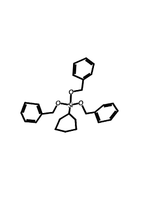 c1ccc(CO[Si](OCc2ccccc2)(OCc2ccccc2)C2CCCCC2)cc1